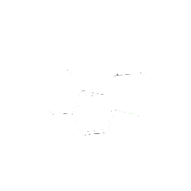 COC(=O)c1c(Br)ccc([N+](=O)[O-])c1[N+](=O)[O-]